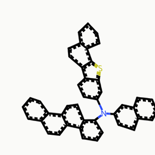 c1ccc2cc(N(c3ccc4c(c3)sc3c5ccccc5ccc43)c3cccc4c3ccc3c5ccccc5ccc43)ccc2c1